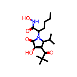 CCCCC(C(=O)NO)N1C(=O)C(O)=C(C(=O)C(C)(C)C)C1C(C)C